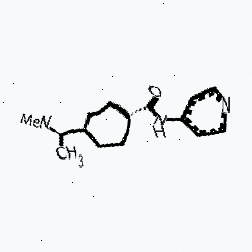 CN[C@H](C)[C@H]1CC[C@H](C(=O)Nc2ccncc2)CC1